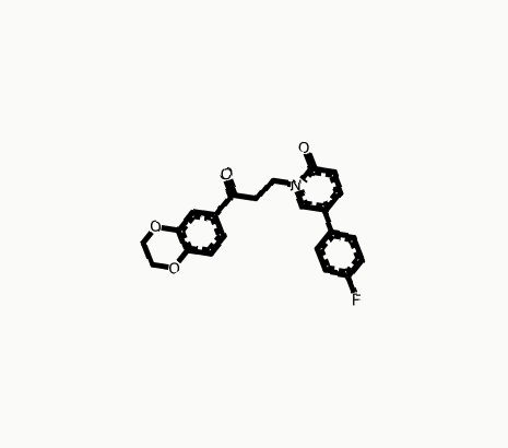 O=C(CCn1cc(-c2ccc(F)cc2)ccc1=O)c1ccc2c(c1)OCCO2